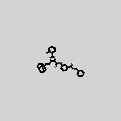 Cc1ccccc1-c1nc(C(=O)Nc2cccc(C(=O)OCc3ccccc3)c2)c(CCC23CC4CC(CC(C4)C2)C3)o1